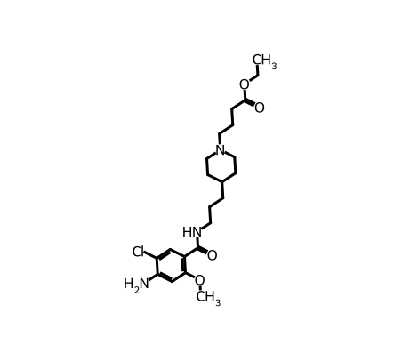 CCOC(=O)CCCN1CCC(CCCNC(=O)c2cc(Cl)c(N)cc2OC)CC1